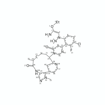 CCO/C(N)=C/N(N)c1ccc(Cl)c(F)c1-c1cc(=O)n(C2CCCC(C)C(=O)Nc3cnn(C)c3-c3ccnc2c3)cn1